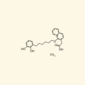 C.O=C(O)Cc1ccc2ccccc2c1OCCCCCCc1cccc(O)c1O